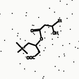 CCC(O)CC(=O)OC(CC(=O)[O-])C[N+](C)(C)C